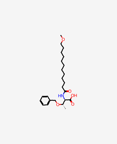 COCCCCCCCCCCCC(=O)N[C@@H](C(=O)O)[C@H](C)OCc1ccccc1